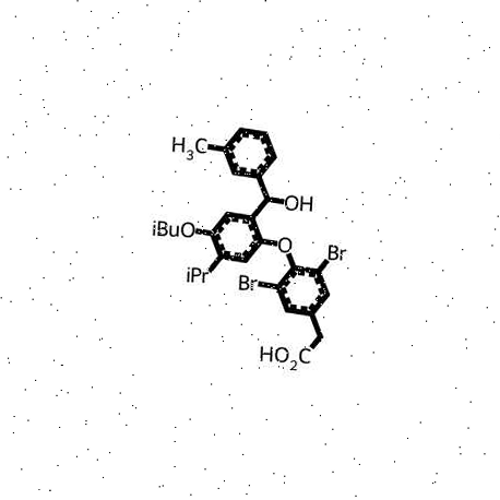 Cc1cccc(C(O)c2cc(OCC(C)C)c(C(C)C)cc2Oc2c(Br)cc(CC(=O)O)cc2Br)c1